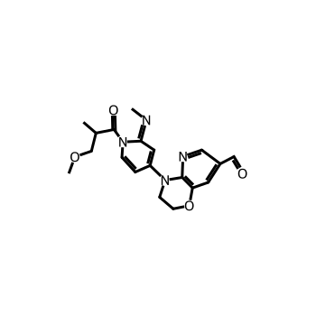 C/N=c1/cc(N2CCOc3cc(C=O)cnc32)ccn1C(=O)C(C)COC